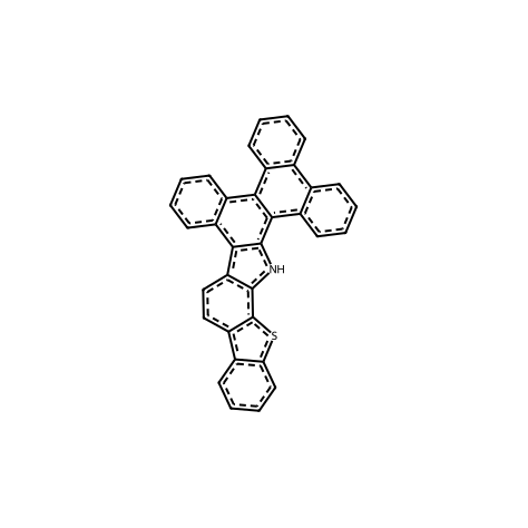 c1ccc2c(c1)sc1c2ccc2c1[nH]c1c2c2ccccc2c2c3ccccc3c3ccccc3c12